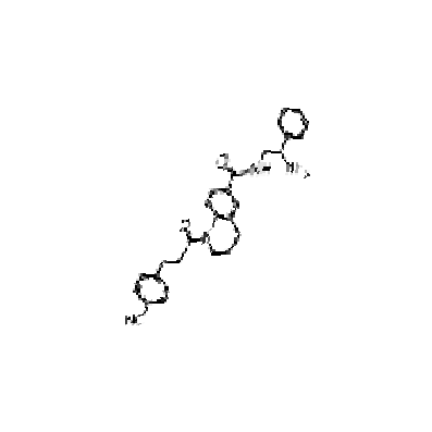 N#Cc1ccc(CCC(=O)N2CCCc3cc(C(=O)NCC(N)c4ccccc4)ccc32)cc1